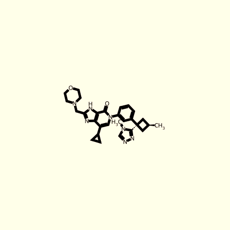 Cn1cnnc1[C@]1(c2cccc(-n3cc(C4CC4)c4nc(CN5CCOCC5)[nH]c4c3=O)c2)C[C@@H](C)C1